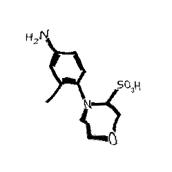 Cc1cc(N)ccc1N1CCOCC1S(=O)(=O)O